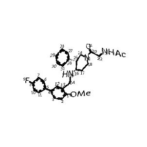 COc1ccc(-c2ccc(F)cc2)cc1CN[C@H]1CCN(C(=O)CNC(C)=O)C[C@H]1c1ccccc1